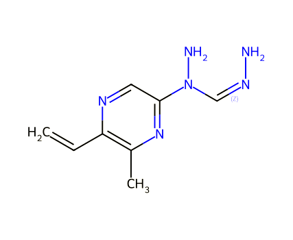 C=Cc1ncc(N(N)/C=N\N)nc1C